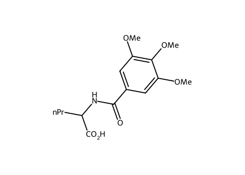 CCCC(NC(=O)c1cc(OC)c(OC)c(OC)c1)C(=O)O